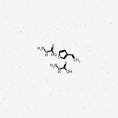 C=Cc1ccoc1.NNC(O)=S.NNC(O)=S